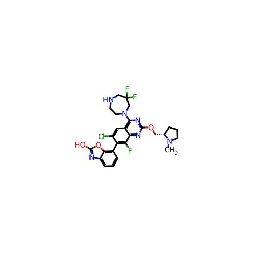 CN1CCC[C@H]1COc1nc(N2CCNCC(F)(F)C2)c2cc(Cl)c(-c3cccc4nc(O)oc34)c(F)c2n1